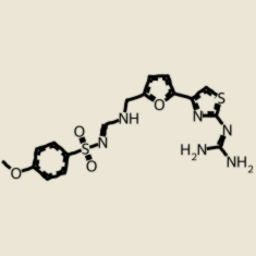 COc1ccc(S(=O)(=O)N=CNCc2ccc(-c3csc(N=C(N)N)n3)o2)cc1